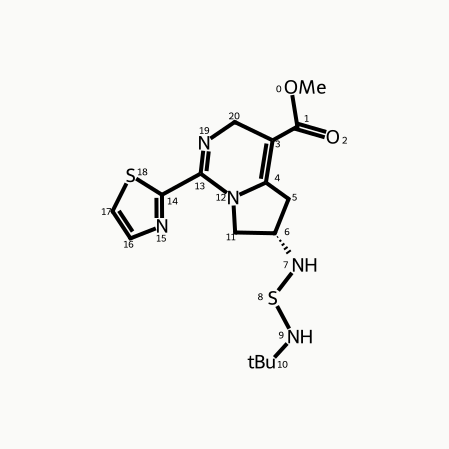 COC(=O)C1=C2C[C@H](NSNC(C)(C)C)CN2C(c2nccs2)=NC1